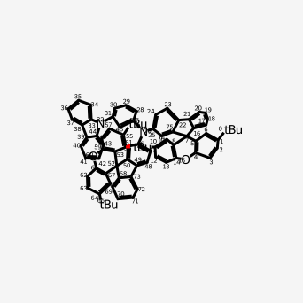 CC(C)(C)c1ccc2c(c1)C1(c3cc(C(C)(C)C)ccc3O2)c2ccccc2-c2ccc(N(c3cccc(-n4c5ccccc5c5ccccc54)c3)c3ccc4c(c3)C3(c5cc(C(C)(C)C)ccc5Oc5ccc(C(C)(C)C)cc53)c3ccccc3-4)cc21